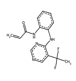 C=CC(=O)Nc1ccccc1Nc1ncncc1C(C)(F)F